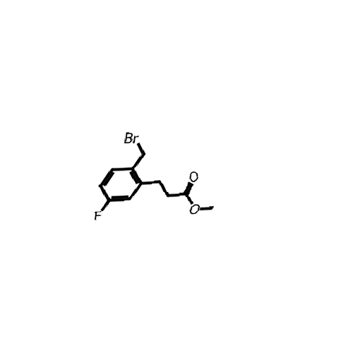 COC(=O)CCc1cc(F)ccc1CBr